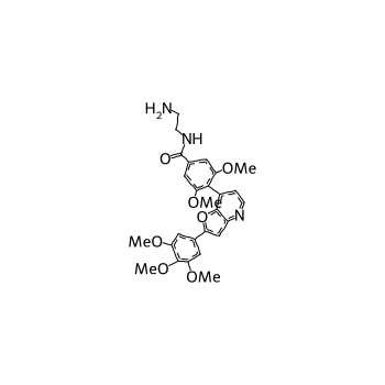 COc1cc(-c2cc3nccc(-c4c(OC)cc(C(=O)NCCN)cc4OC)c3o2)cc(OC)c1OC